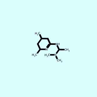 CC1CC(NC(C)N(C)C)=NC(C)C1